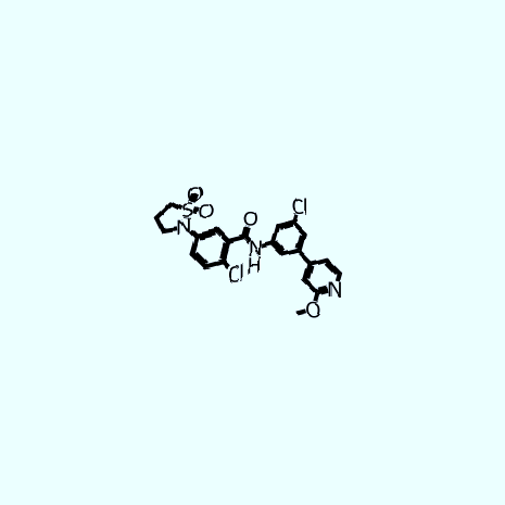 COc1cc(-c2cc(Cl)cc(NC(=O)c3cc(N4CCCS4(=O)=O)ccc3Cl)c2)ccn1